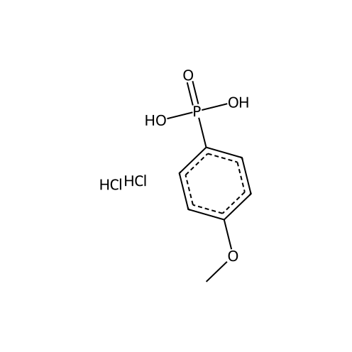 COc1ccc(P(=O)(O)O)cc1.Cl.Cl